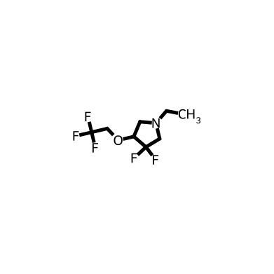 CCN1CC(OCC(F)(F)F)C(F)(F)C1